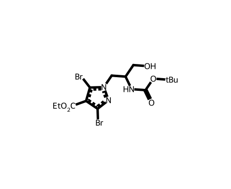 CCOC(=O)c1c(Br)nn(CC(CO)NC(=O)OC(C)(C)C)c1Br